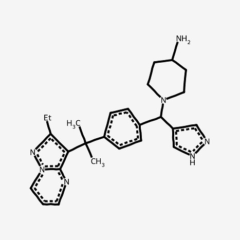 CCc1nn2cccnc2c1C(C)(C)c1ccc(C(c2cn[nH]c2)N2CCC(N)CC2)cc1